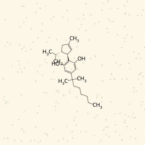 CCCCCCC(C)(C)c1cc(O)c([C@@H]2C=C(C)C[C@H]2C(C)C)c(O)c1